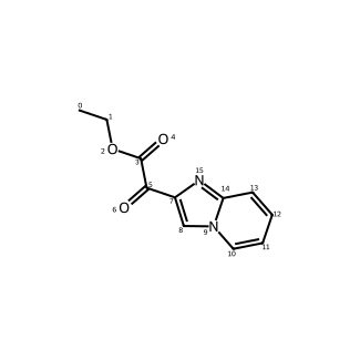 CCOC(=O)C(=O)c1cn2ccccc2n1